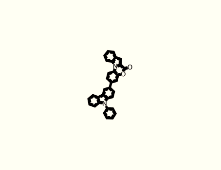 O=c1oc2cc(-c3ccc4c(c3)c3ccccc3n4-c3ccccc3)ccc2n2c1cc1ccccc12